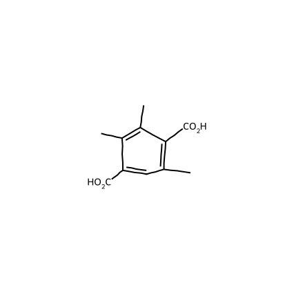 Cc1cc(C(=O)O)c(C)c(C)c1C(=O)O